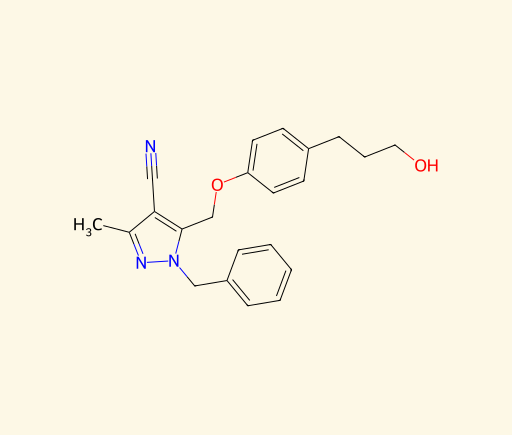 Cc1nn(Cc2ccccc2)c(COc2ccc(CCCO)cc2)c1C#N